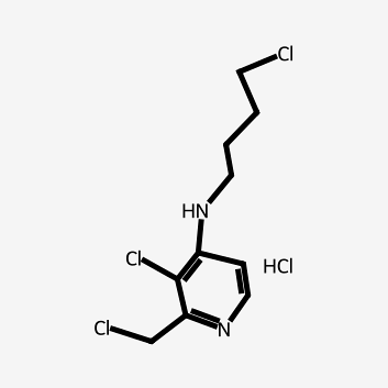 Cl.ClCCCCNc1ccnc(CCl)c1Cl